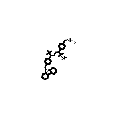 CC(C)(C)C(CCC(c1ccc(CN)cc1)C(C)(C)S)c1ccc(Cn2c3ccccc3c3ccccc32)cc1